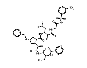 CC[C@@H](C)[C@H](NC(=O)[C@H](CC(C)C)NC(=O)c1cnccn1)C(=O)N1C[C@H](OCc2ccccc2)C[C@H]1C(=O)N[C@@H](CC(F)F)C(=O)C(=O)NCC(=O)NS(=O)(=O)c1cccc([N+](=O)[O-])c1